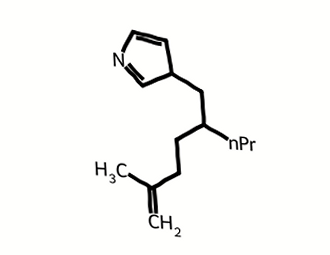 C=C(C)CCC(CCC)CC1C=CN=C1